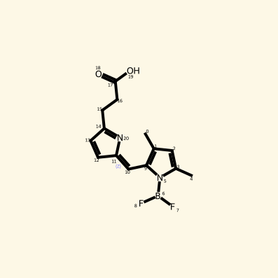 Cc1cc(C)n(B(F)F)c1/C=C1/C=CC(CCC(=O)O)=N1